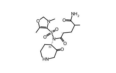 CC1=C(S(=O)(=O)N(C(=O)[CH]CC(C)C(N)=O)[C@H]2CCCNCC2=O)N(C)CO1